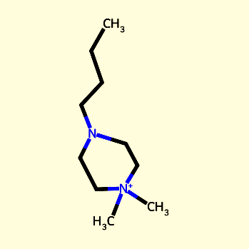 CCCCN1CC[N+](C)(C)CC1